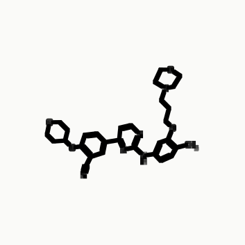 Cc1ccc(Nc2nccc(-c3ccc(OC4CCOCC4)c(C#N)c3)n2)cc1OCCCN1CCOCC1